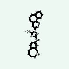 Nc1nc(Nc2ccc3c(c2)CNCCCC3)nn1-c1cc2c(nn1)-c1ccccc1CCC2